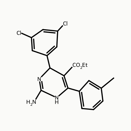 CCOC(=O)C1=C(c2cccc(C)c2)NC(N)=NC1c1cc(Cl)cc(Cl)c1